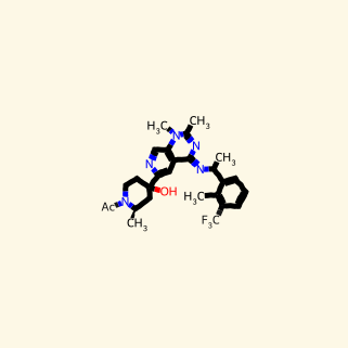 CC(=O)N1CCC(O)(c2cc3/c(=N/C(C)c4cccc(C(F)(F)F)c4C)nc(C)n(C)c3cn2)C[C@H]1C